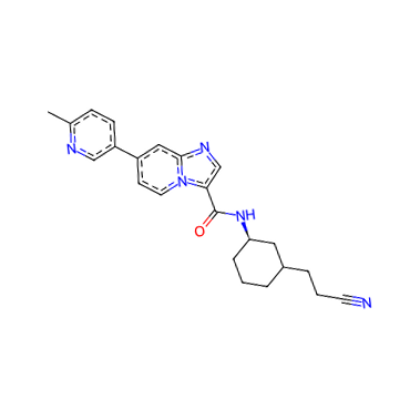 Cc1ccc(-c2ccn3c(C(=O)N[C@@H]4CCCC(CCC#N)C4)cnc3c2)cn1